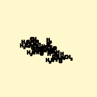 CCNC(=O)C(CCN)NC(=O)CNC(=O)C(CCN)NC(=O)CNC(=O)C(CCN)NC(=O)CC(C)C(=O)C(CC)C(C)CC